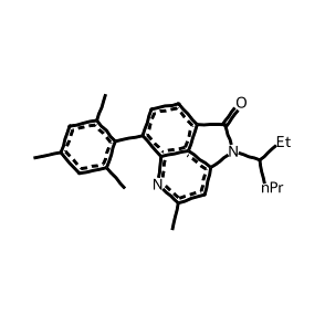 CCCC(CC)N1C(=O)c2ccc(-c3c(C)cc(C)cc3C)c3nc(C)cc1c23